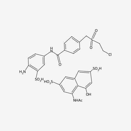 CC(=O)Nc1cc(S(=O)(=O)O)cc2cc(S(=O)(=O)O)cc(O)c12.Nc1ccc(NC(=O)c2ccc(CS(=O)(=O)CCCl)cc2)cc1S(=O)(=O)O